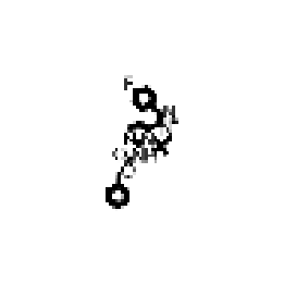 CC(C)(C)Cn1cnc(-c2ccc(F)cc2)c1-c1ccnc(NC(=O)OCc2ccccc2)n1